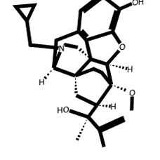 C=C(C)[C@@](C)(O)[C@H]1C[C@@]23CC[C@@]1(OC)[C@@H]1Oc4c(O)ccc5c4[C@@]12CCN(CC1CC1)[C@@H]3C5